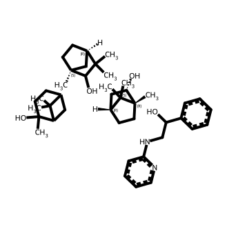 CC1(C)C(O)[C@@]2(C)CC[C@@H]1C2.CC1(C)[C@@H]2CC[C@@]1(C)[C@@H](O)C2.CC1(O)CCC2CC1C2(C)C.OC(CNc1ccccn1)c1ccccc1